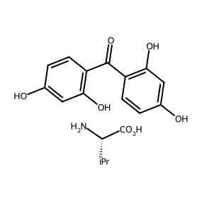 CC(C)[C@H](N)C(=O)O.O=C(c1ccc(O)cc1O)c1ccc(O)cc1O